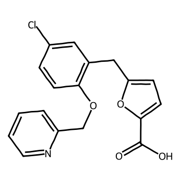 O=C(O)c1ccc(Cc2cc(Cl)ccc2OCc2ccccn2)o1